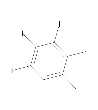 Cc1cc(I)c(I)c(I)c1C